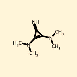 CN(C)c1c(N(C)C)c1=N